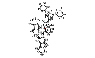 c1ccc(-c2cc(-c3ccccc3)nc(-c3cccc(-n4c5ccccc5c5ccc6c7cc8c(cc7n(-c7ccccc7)c6c54)oc4ccccc48)c3)n2)cc1